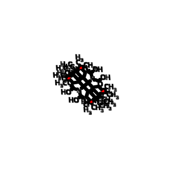 CN1C(C)(C)CC(C(C2CC(C)(C)N(C)C(C)(C)C2)(N(C(=O)O)C(=O)O)C(C2CC(C)(C)N(C)C(C)(C)C2)(C2CC(C)(C)N(C)C(C)(C)C2)N(C(=O)O)C(=O)O)CC1(C)C